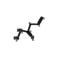 C=CCC(=O)N[NH]